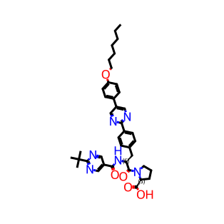 CCCCCCCOc1ccc(-c2cnc(-c3ccc(C[C@H](NC(=O)c4cnc(C(C)(C)C)nc4)C(=O)N4CCC[C@H]4C(=O)O)cc3)nc2)cc1